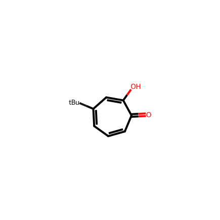 CC(C)(C)c1cccc(=O)c(O)c1